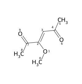 CO/C(=C\C(C)=O)C(C)=O